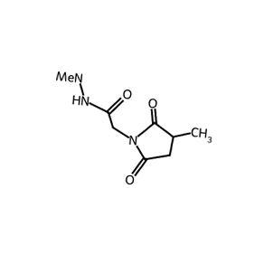 CNNC(=O)CN1C(=O)CC(C)C1=O